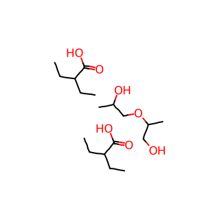 CC(O)COC(C)CO.CCC(CC)C(=O)O.CCC(CC)C(=O)O